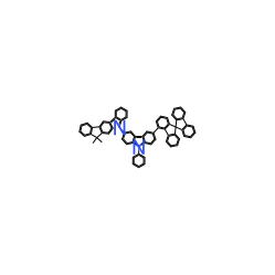 CC1(C)c2ccccc2-c2cc3c4ccccc4n(-c4ccc5c(c4)c4cc(-c6cccc7c6-c6ccccc6C76c7ccccc7-c7ccccc76)ccc4n5-c4ccccc4)c3cc21